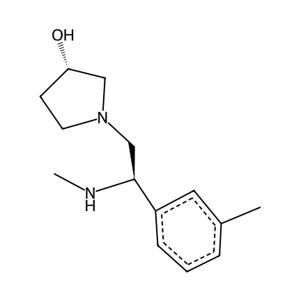 CN[C@@H](CN1CC[C@H](O)C1)c1cccc(C)c1